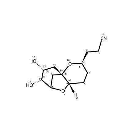 N#CCC[C@H]1CC[C@@H]2OC3C[C@]2(C[C@@H](O)[C@H]3O)O1